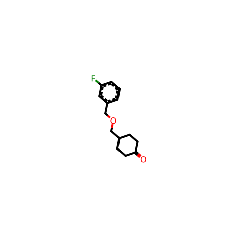 O=C1CCC(COCc2cccc(F)c2)CC1